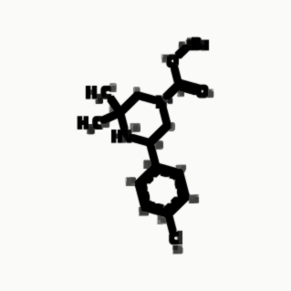 CC1(C)CN(C(=O)OC(C)(C)C)CC(c2ccc(Cl)cc2)N1